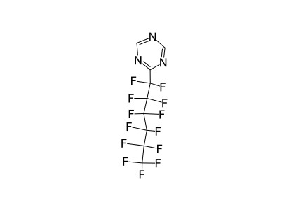 FC(F)(F)C(F)(F)C(F)(F)C(F)(F)C(F)(F)C(F)(F)c1ncncn1